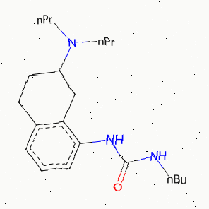 CCCCNC(=O)Nc1cccc2c1CC(N(CCC)CCC)CC2